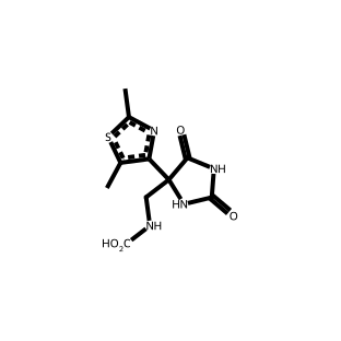 Cc1nc(C2(CNC(=O)O)NC(=O)NC2=O)c(C)s1